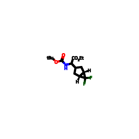 CCOC(=O)C(NC(=O)OC(C)(C)C)C1C[C@@H]2[C@H](C1)C2(F)F